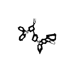 N#Cc1cc(-c2ccc(-n3c4ccccc4c4cc5oc6ccccc6c5cc43)cc2)cc(-n2c3ccccc3c3ccccc32)c1